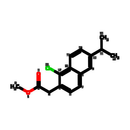 COC(=O)Cc1ccc2cc(C(C)C)ccc2c1Cl